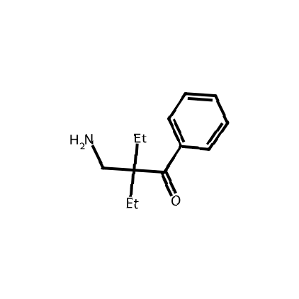 CCC(CC)(CN)C(=O)c1ccccc1